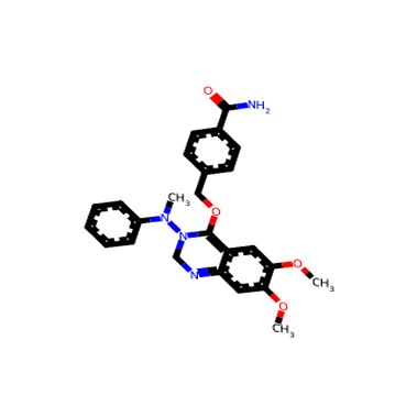 COc1cc2c(cc1OC)=C(OCc1ccc(C(N)=O)cc1)N(N(C)c1ccccc1)CN=2